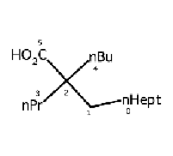 CCCCCCCCC(CCC)(CCCC)C(=O)O